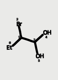 CCC(Br)C(O)O